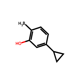 Bc1ccc(C2CC2)cc1O